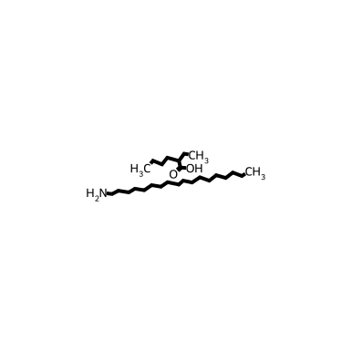 CCCCC(CC)C(=O)O.CCCCCCCCCCCCCCCCCCN